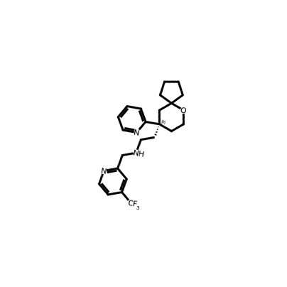 FC(F)(F)c1ccnc(CNCC[C@@]2(c3ccccn3)CCOC3(CCCC3)C2)c1